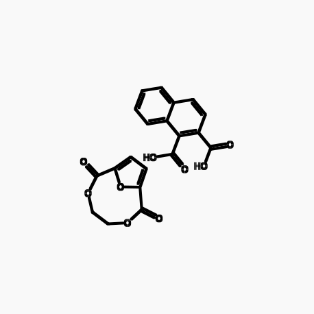 O=C(O)c1ccc2ccccc2c1C(=O)O.O=C1OCCOC(=O)c2ccc1o2